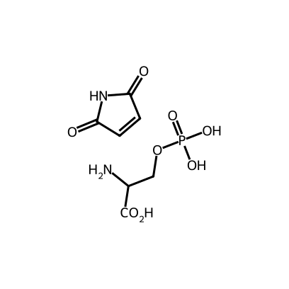 NC(COP(=O)(O)O)C(=O)O.O=C1C=CC(=O)N1